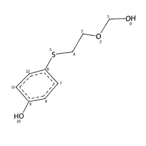 OCOCCSc1ccc(O)cc1